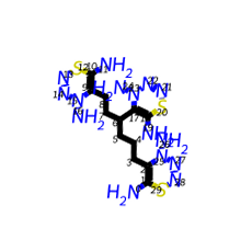 NC1=C(CCCC(CCC2=C(N)SN=NN2N)C2=C(N)SN=NN2N)N(N)N=NS1